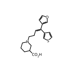 O=C(O)C1CCCN(CC/C=C(/c2ccoc2)c2ccsc2)C1